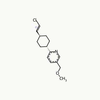 COCc1ccc([C@H]2CC[C@H](/C=C/Cl)CC2)nc1